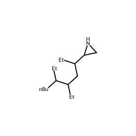 CCCCC(CC)C(CC)CC(CC)C1CN1